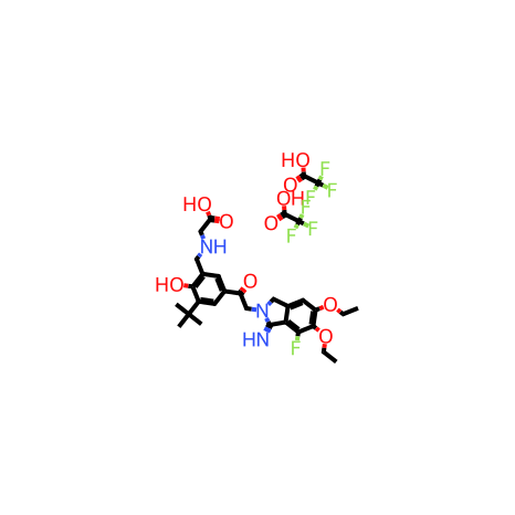 CCOc1cc2c(c(F)c1OCC)C(=N)N(CC(=O)c1cc(CNCC(=O)O)c(O)c(C(C)(C)C)c1)C2.O=C(O)C(F)(F)F.O=C(O)C(F)(F)F